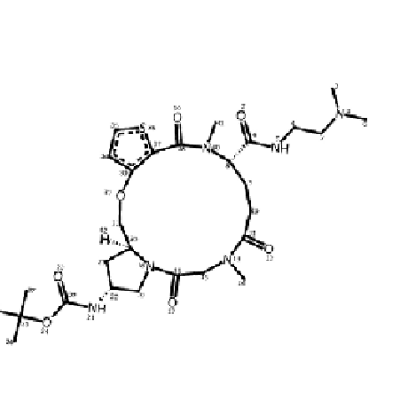 CN(C)CCNC(=O)[C@@H]1CCC(=O)N(C)CC(=O)N2C[C@H](NC(=O)OC(C)(C)C)C[C@H]2COc2ccsc2C(=O)N1C